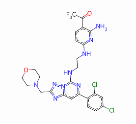 Nc1nc(NCCNc2nc(-c3ccc(Cl)cc3Cl)cc3nc(CN4CCOCC4)nn23)ccc1C(=O)C(F)(F)F